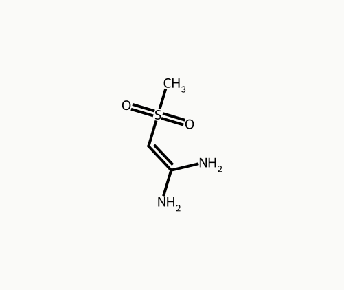 CS(=O)(=O)C=C(N)N